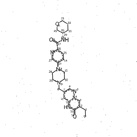 CCc1cc2ncc(CN3CCN(c4ccc(C(=O)N[C@H]5CCCOC5)nc4)CC3)cc2[nH]c1=O